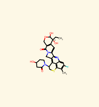 CC[C@]1(O)c2cc3n(c(=O)c2COC1O)Cc1c-3nc2cc(F)c(C)c3c2c1C(N1CCC(O)CC1=O)CS3